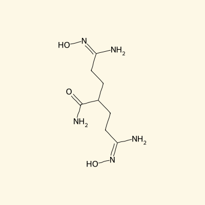 NC(=O)C(CC/C(N)=N\O)CC/C(N)=N\O